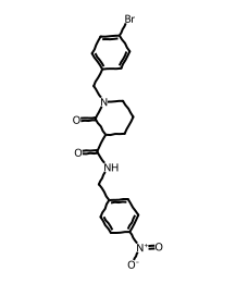 O=C(NCc1ccc([N+](=O)[O-])cc1)C1CCCN(Cc2ccc(Br)cc2)C1=O